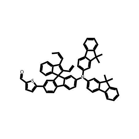 C=CC1=C(/C=C\C)c2ccccc2C12c1cc(-c3ccc(C=O)s3)ccc1-c1ccc(N(c3ccc4c(c3)C(C)(C)c3ccccc3-4)c3ccc4c(c3)C(C)(C)c3ccccc3-4)cc12